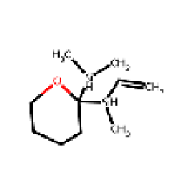 C=C[SiH](C)C1([SiH](C)C)CCCCO1